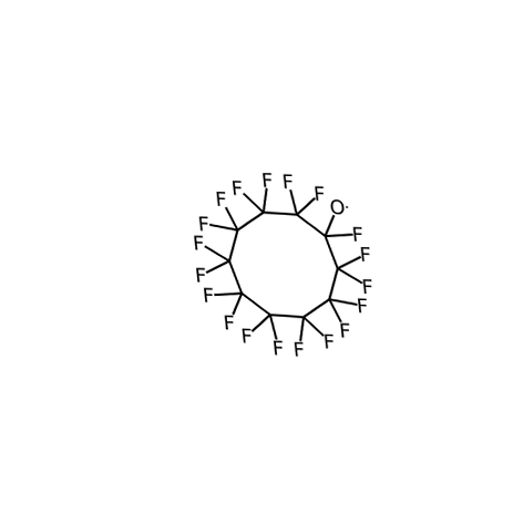 [O]C1(F)C(F)(F)C(F)(F)C(F)(F)C(F)(F)C(F)(F)C(F)(F)C(F)(F)C(F)(F)C1(F)F